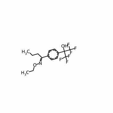 CCCC(=NOCC)c1ccc(C(O)(C(F)(F)F)C(F)(F)F)cc1